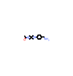 CC(=O)N1CC2(C1)CN(c1ccc(CN)cc1)C2